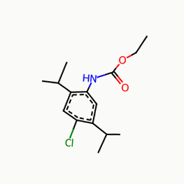 CCOC(=O)Nc1cc(C(C)C)c(Cl)cc1C(C)C